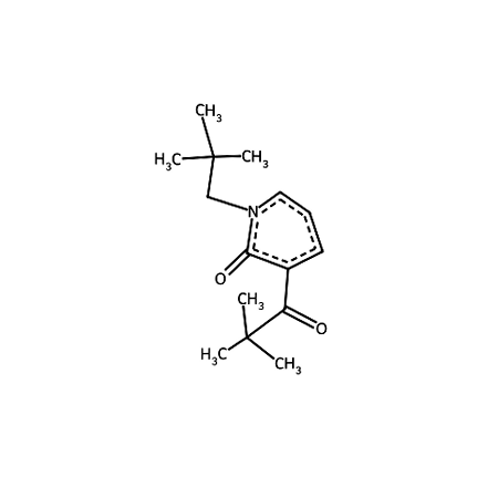 CC(C)(C)Cn1cccc(C(=O)C(C)(C)C)c1=O